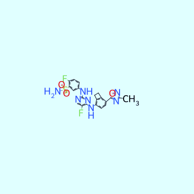 Cc1noc(-c2ccc(Nc3nc(Nc4ccc(F)c(S(N)(=O)=O)c4)ncc3F)c3c2CC3)n1